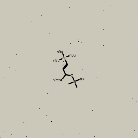 CCCCCC(/C=[CH]/[Sn]([CH2]CCC)([CH2]CCC)[CH2]CCC)O[Si](C)(C)C(C)(C)C